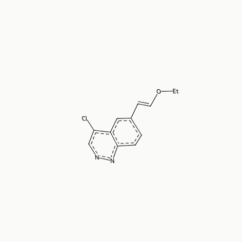 CCO/C=C/c1ccc2nncc(Cl)c2c1